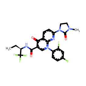 CC[C@@H](NC(=O)c1cn(-c2ccc(F)cc2F)c2nc(N3CCN(C)C3=O)ccc2c1=O)C(F)(F)F